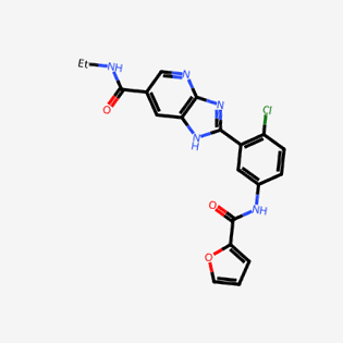 CCNC(=O)c1cnc2nc(-c3cc(NC(=O)c4ccco4)ccc3Cl)[nH]c2c1